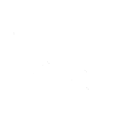 Cc1cnc(OCCNC(=O)c2ccc(Cl)cc2)nc1